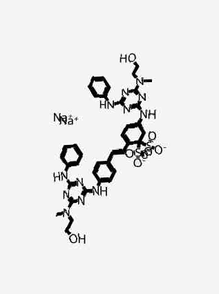 CN(CCO)c1nc(NC2=CC=C(C=Cc3ccc(Nc4nc(Nc5ccccc5)nc(N(C)CCO)n4)cc3)C(S(=O)(=O)[O-])(S(=O)(=O)[O-])C2)nc(Nc2ccccc2)n1.[Na+].[Na+]